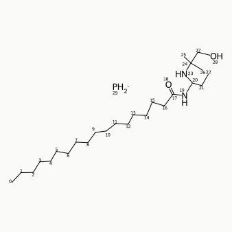 CCCCCCCCCCCCCCCCCC(=O)NC(CC)NC(C)(C)CO.[PH2]